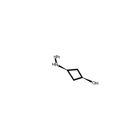 CCCN[C@H]1C[C@@H](O)C1